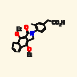 CCOc1c2c(c(OCC)c3ccccc13)C(=O)N(c1ccc(CC(=O)O)cc1C)C2